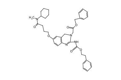 CN(C(=O)CCCOc1ccc2c(c1)CN(CC(=O)OCc1ccccc1)C(NC(=O)OCCc1ccccc1)=N2)C1CCCCC1